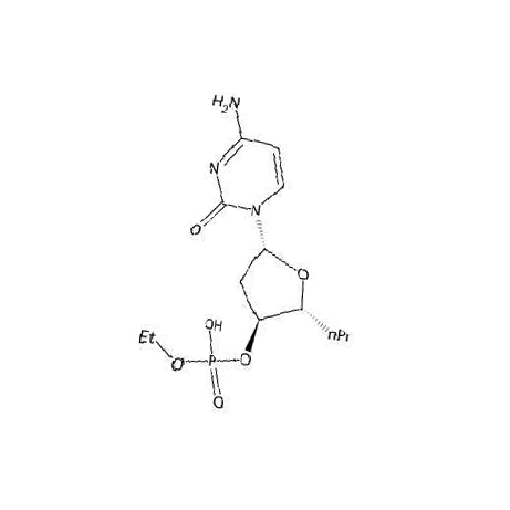 CCC[C@H]1O[C@@H](n2ccc(N)nc2=O)C[C@@H]1OP(=O)(O)OCC